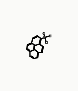 Cl[Si](Cl)(Cl)c1ccc2ccc3cccc4ccc1c2c34